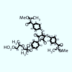 CON(C)C(=O)c1ccc(SC2=C(Sc3ccc(C(=O)N(C)OC)cc3)C(=O)N(c3ccc(OC(C)(C)COC(C)CC(=O)O)cc3)C2=O)cc1